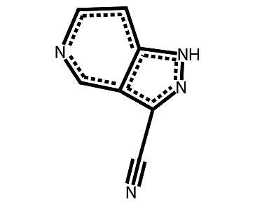 N#Cc1n[nH]c2ccncc12